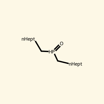 CCCCCCCC[PH](=O)CCCCCCCC